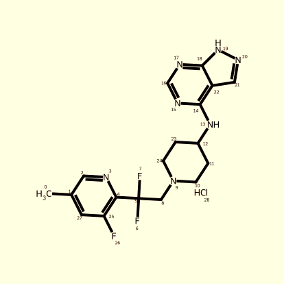 Cc1cnc(C(F)(F)CN2CCC(Nc3ncnc4[nH]ncc34)CC2)c(F)c1.Cl